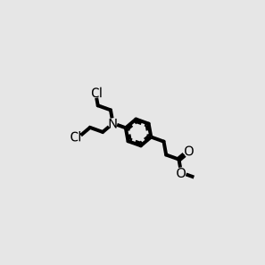 COC(=O)CCc1ccc(N(CCCl)CCCl)cc1